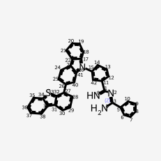 N=C(/N=C(\N)c1ccccc1)c1cccc(-n2c3ccccc3c3ccc(-c4cccc5c4sc4ccccc45)cc32)c1